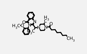 CCCCCCCC(=O)N1CCN(C(C)c2nc3ccccc3c(=O)n2-c2ccccc2OC)CC1C